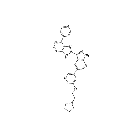 c1cc(-c2nccc3[nH]c(-c4n[nH]c5ncc(-c6cncc(OCCN7CCCC7)c6)cc45)nc23)ccn1